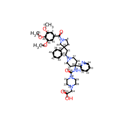 COc1cc(C(=O)N2CCC(CCN3CCC(NC(=O)N4CCN(CC(=O)O)CC4)(c4ccccn4)CC3)(c3ccccc3)C2)cc(OC)c1OC